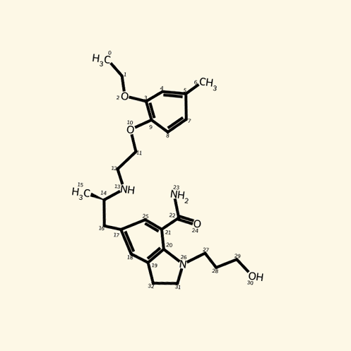 CCOc1cc(C)ccc1OCCN[C@H](C)Cc1cc2c(c(C(N)=O)c1)N(CCCO)CC2